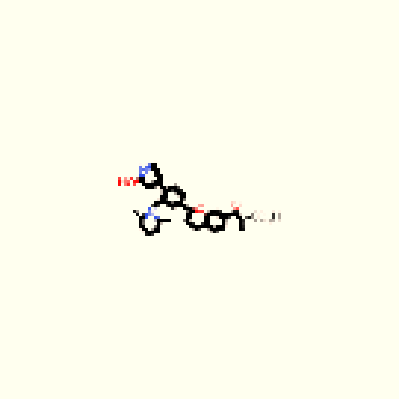 C[C@H](C(=O)O)[C@@H](O)c1ccc2c(c1)OC(c1ccc(-c3ccnc(O)c3)c(CN3[C@H](C)CCC[C@@H]3C)c1)CC2